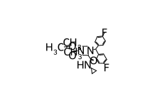 CC(C)(C)OC(=O)N1CCN(C(c2ccc(F)cc2)c2ccc(F)cc2)C(C(=O)NC2CC2)C1